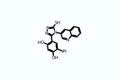 CC(C)c1cc(-c2nnc(S)n2-c2cnc3ccccc3c2)c(O)cc1O